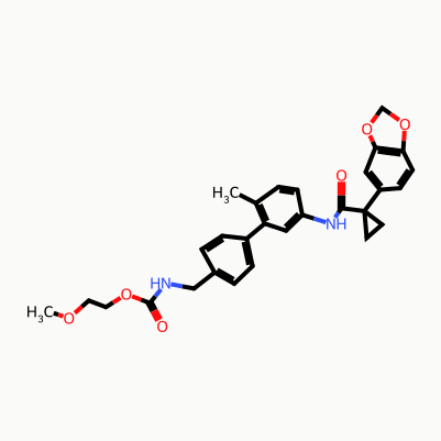 COCCOC(=O)NCc1ccc(-c2cc(NC(=O)C3(c4ccc5c(c4)OCO5)CC3)ccc2C)cc1